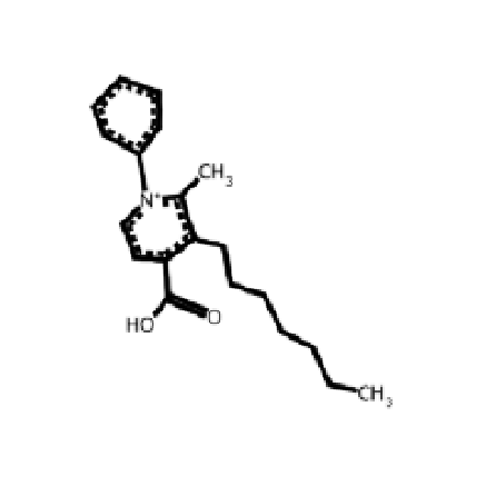 CCCCCCCc1c(C(=O)O)cc[n+](-c2ccccc2)c1C